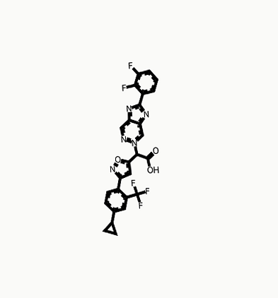 O=C(O)C(c1cc(-c2ccc(C3CC3)cc2C(F)(F)F)no1)n1cc2nc(-c3cccc(F)c3F)nc-2cn1